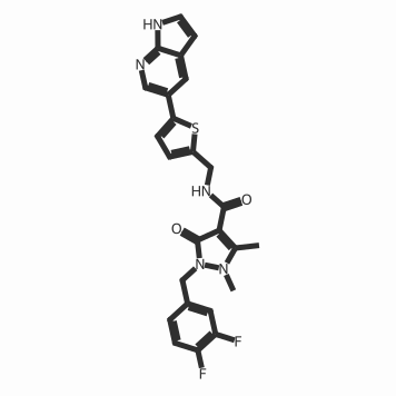 Cc1c(C(=O)NCc2ccc(-c3cnc4[nH]ccc4c3)s2)c(=O)n(Cc2ccc(F)c(F)c2)n1C